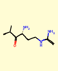 C=C(N)NCC[C@@H](N)C(=O)C(C)C